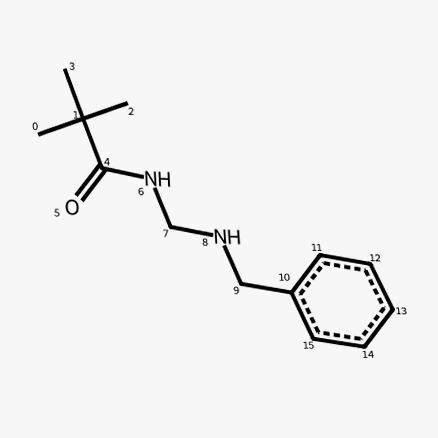 CC(C)(C)C(=O)NCNCc1ccccc1